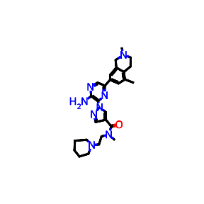 Cc1cc(-c2cnc(N)c(-n3cc(C(=O)N(C)CCN4CCCCC4)cn3)n2)cc2c1CCN(C)C2